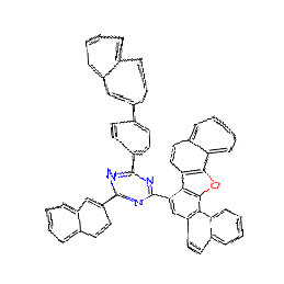 c1ccc2cc(-c3ccc(-c4nc(-c5ccc6ccccc6c5)nc(-c5cc6ccc7ccccc7c6c6oc7c8ccccc8ccc7c56)n4)cc3)ccc2c1